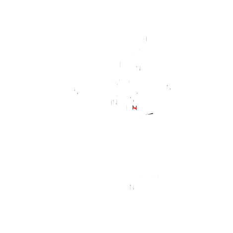 C[C@@H](CC1(c2nn(C)c(=O)[nH]2)c2ccc(C(=O)N(C)C)cc2CCc2cc(C(=O)N(C)C)ccc21)NCC(=O)N1C(C#N)C[C@@H]2C[C@@H]21